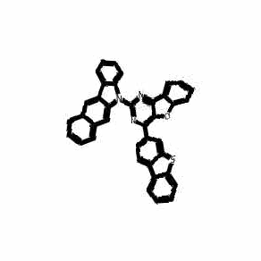 C1=CCC2C=c3c(n(-c4nc(-c5ccc6c(c5)sc5ccccc56)c5oc6ccccc6c5n4)c4ccccc34)=CC2=C1